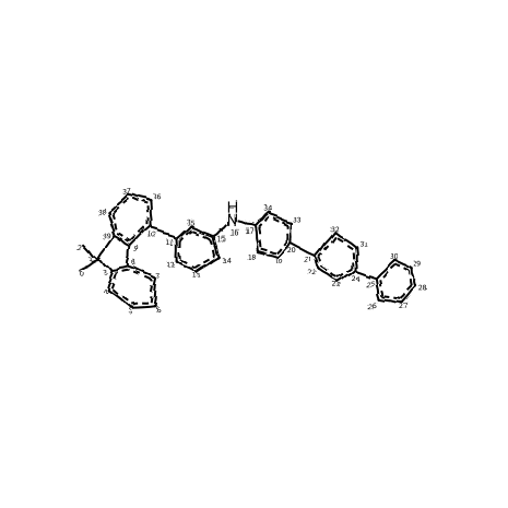 CC1(C)c2ccccc2-c2c(-c3cccc(Nc4ccc(-c5ccc(-c6ccccc6)cc5)cc4)c3)cccc21